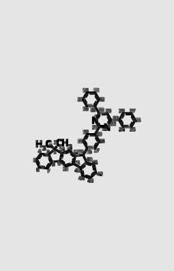 CC1(C)c2ccccc2-c2cc3c(cc21)C(c1ccc(-c2nc(-c4ccccc4)cc(-c4ccccc4)n2)cc1)c1ccccc1-3